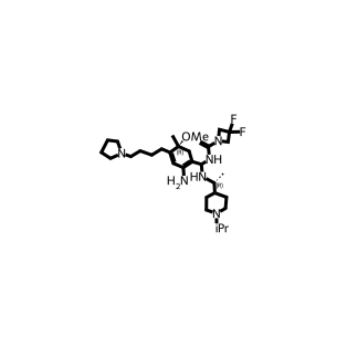 C=C(NC(N[C@H](C)C1CCN(C(C)C)CC1)C1=C(N)C=C(CCCCN2CCCC2)[C@](C)(OC)C1)N1CC(F)(F)C1